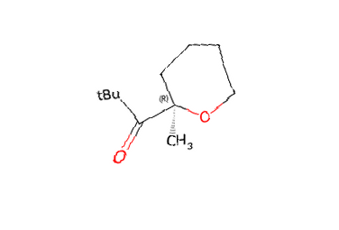 CC(C)(C)C(=O)[C@@]1(C)CCCCO1